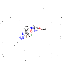 C#CCOc1cnc(C(=O)Nc2ccc(F)c([C@]3(C)N=C(N)S[C@@]4(CF)C[C@H]43)c2)c(C)c1